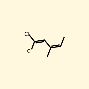 CC=C(C)C=C(Cl)Cl